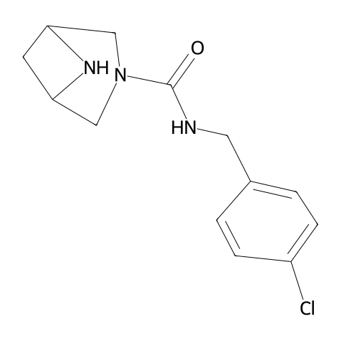 O=C(NCc1ccc(Cl)cc1)N1CC2CC(C1)N2